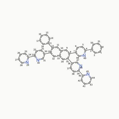 c1ccc(-c2ccc(-c3cc4cc(-c5ccccc5)c(-c5ccc(-c6ccccn6)nc5)cc4cc3-c3ccc(-c4ccccn4)nc3)cn2)cc1